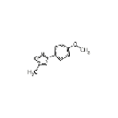 COc1ccc(-c2cc(C)on2)cc1